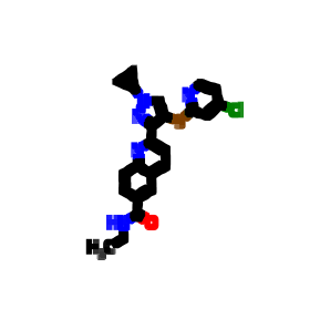 CCNC(=O)c1ccc2nc(-c3nn(C4CC4)cc3Sc3cc(Cl)ccn3)ccc2c1